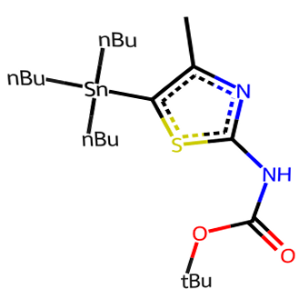 CCC[CH2][Sn]([CH2]CCC)([CH2]CCC)[c]1sc(NC(=O)OC(C)(C)C)nc1C